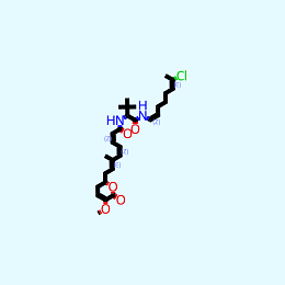 COC1=CCC(C/C=C(C)/C=C\C=C/C(=O)NC(C(=O)N/C=C\CCC/C=C(\C)Cl)C(C)(C)C)OC1=O